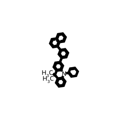 CC1(C)c2ccccc2N(C2=CCCC=C2)c2cc(-c3cccc(-c4cccc5ccccc45)c3)ccc21